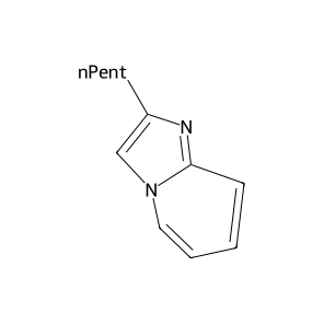 CCCCCc1cn2ccccc2n1